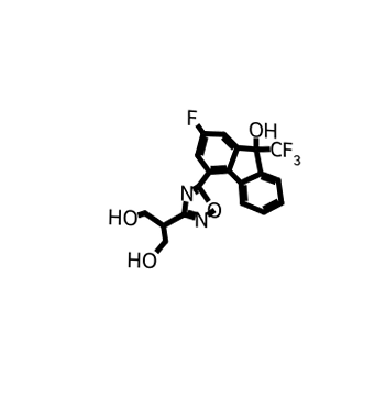 OCC(CO)c1noc(-c2cc(F)cc3c2-c2ccccc2C3(O)C(F)(F)F)n1